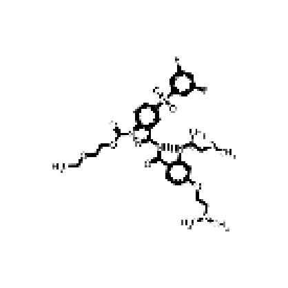 CCOCCOC(=O)n1nc(NC(=O)c2ccc(OCCN(C)C)cc2N[C@@H](C)COC)c2cc(S(=O)(=O)c3cc(F)cc(F)c3)ccc21